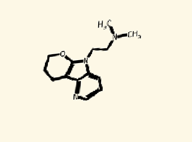 CN(C)CCn1c2c(c3ncccc31)CCCO2